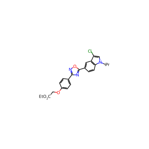 CCOC(=O)COc1ccc(-c2noc(-c3ccc4c(c3)c(Cl)cn4C(C)C)n2)cc1